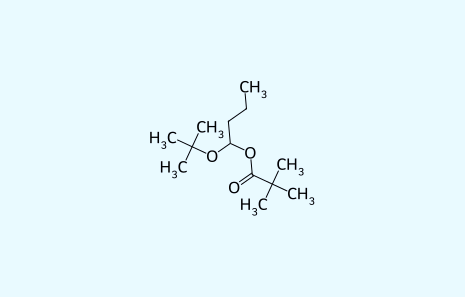 CCCC(OC(=O)C(C)(C)C)OC(C)(C)C